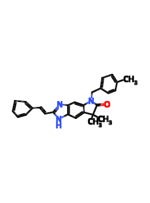 Cc1ccc(CN2C(=O)C(C)(C)c3cc4[nH]c(/C=C/c5ccccc5)nc4cc32)cc1